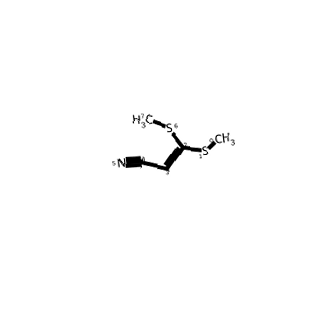 CSC(=CC#N)SC